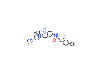 CCc1ccc(CCC(=O)Nc2ccc3c(c2)C=CC(C)(N2CCC(N4CCCC4)CC2)N3)c(Cl)c1